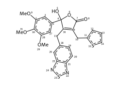 COc1cc(C2(O)OC(=O)C(Cc3cccs3)=C2Cc2ccc3nsnc3c2)cc(OC)c1OC